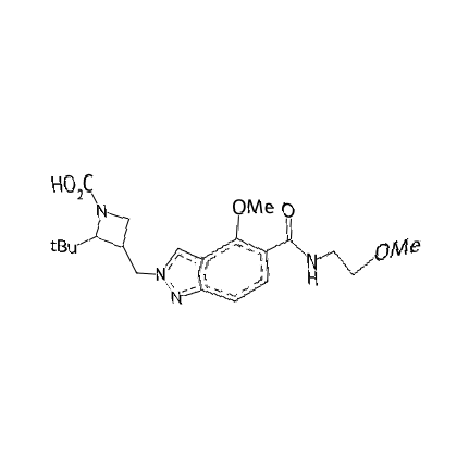 COCCNC(=O)c1ccc2nn(CC3CN(C(=O)O)C3C(C)(C)C)cc2c1OC